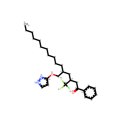 CCCCCCCCCCCC(COc1cc[nH]n1)CC(CC(=O)c1ccccc1)C(F)(F)F